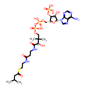 CC(C)CC(=O)SCCNC(=O)CCNC(=O)[C@H](O)C(C)(C)COP(=O)(O)OP(=O)(O)OC[C@H]1O[C@@H](n2cnc3c(N)ncnc32)[C@H](O)[C@@H]1OP(=O)(O)O